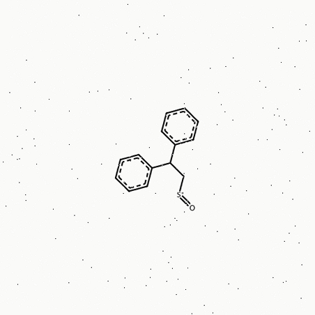 O=[S+]CC(c1ccccc1)c1ccccc1